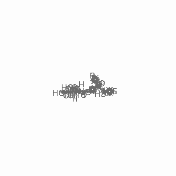 O=C(COc1ccc([C@@H]2[C@@H](SCC(O)c3ccc(F)cc3)C(=O)N2c2ccc(F)cc2)cc1)NCC(=O)N[C@@H](C(=O)O)[C@@H](O)[C@H](O)[C@H](O)CO